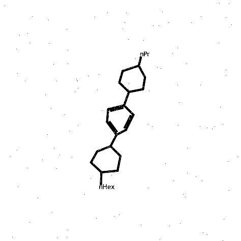 CCCCCCC1CCC(c2ccc(C3CCC(CCC)CC3)cc2)CC1